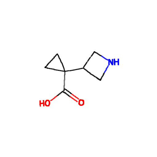 O=C(O)C1(C2CNC2)CC1